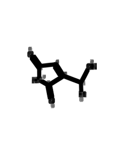 CCC(O)C1=CC(=O)NC1=O